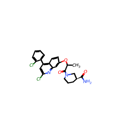 CC(Oc1ccc2c(-c3ccccc3Cl)cc(Cl)nc2c1)C(=O)N1CCC[C@H](C(N)=O)C1